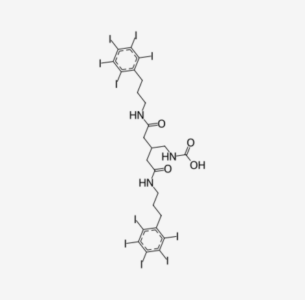 O=C(O)NCC(CC(=O)NCCCc1c(I)c(I)c(I)c(I)c1I)CC(=O)NCCCc1c(I)c(I)c(I)c(I)c1I